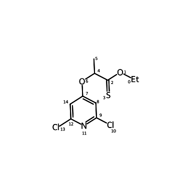 CCOC(=S)C(C)Oc1cc(Cl)nc(Cl)c1